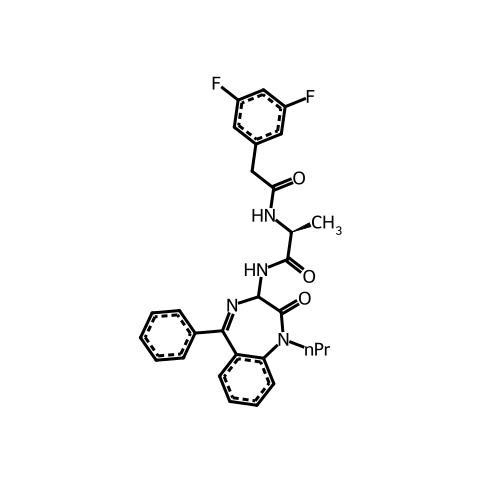 CCCN1C(=O)C(NC(=O)[C@H](C)NC(=O)Cc2cc(F)cc(F)c2)N=C(c2ccccc2)c2ccccc21